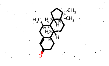 C[C@@H]1CC2=CC(=O)CC[C@@H]2[C@H]2CC[C@]3(C)[C@@H](C)CC[C@H]3[C@@H]21